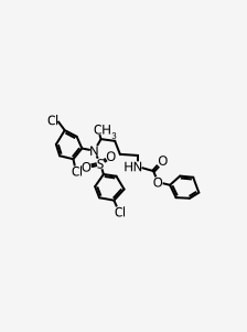 CC(CCCNC(=O)Oc1ccccc1)N(c1cc(Cl)ccc1Cl)S(=O)(=O)c1ccc(Cl)cc1